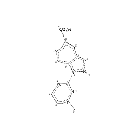 Cc1ccnc(-n2ncc3cc(C(=O)O)ccc32)n1